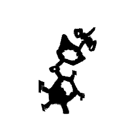 Cc1c(F)c(F)c(Oc2ccc(S(C)(=O)=O)cc2)c(F)c1F